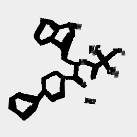 CC(C)(N)C(=O)N[C@H](Cc1c[nH]c2ccccc12)C(=O)N1CCC(c2ccccc2)CC1.Cl